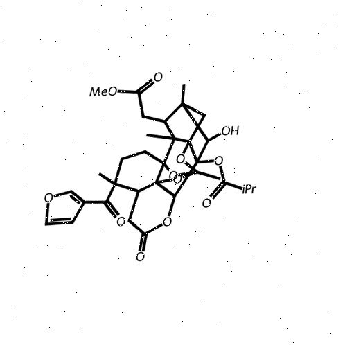 COC(=O)CC1C2(C)CC34OC5(C)OC67C(CC(=O)OC6C3(OC(=O)C(C)C)C2O)C(C)(C(=O)c2ccoc2)CCC7(O5)C14C